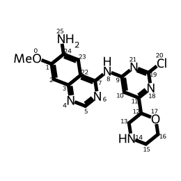 COc1cc2ncnc(Nc3cc(C4CNCCO4)nc(Cl)n3)c2cc1N